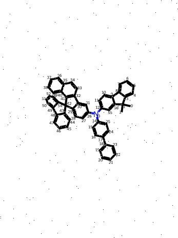 CC1(C)c2ccccc2-c2ccc(N(c3ccc(-c4ccccc4)cc3)c3ccc4c(c3)-c3ccc5ccccc5c3C43c4ccccc4-c4ccccc43)cc21